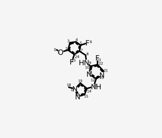 COc1ccc(F)c(CNc2nc(Nc3cnn(C)c3)ncc2F)c1F